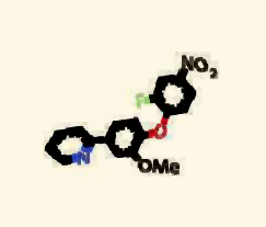 COc1cc(-c2ccccn2)ccc1Oc1ccc([N+](=O)[O-])cc1F